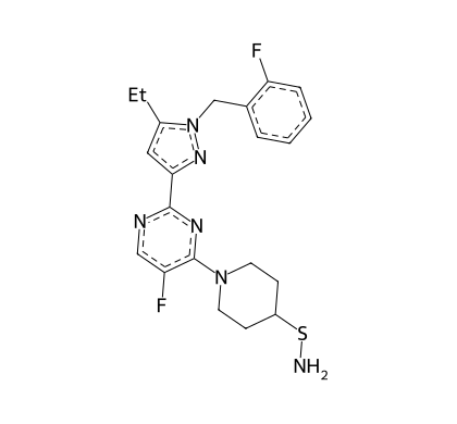 CCc1cc(-c2ncc(F)c(N3CCC(SN)CC3)n2)nn1Cc1ccccc1F